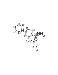 CCCCC(C)[C@@H]1CC(N2CCCCC2)CCN1C(N)=O